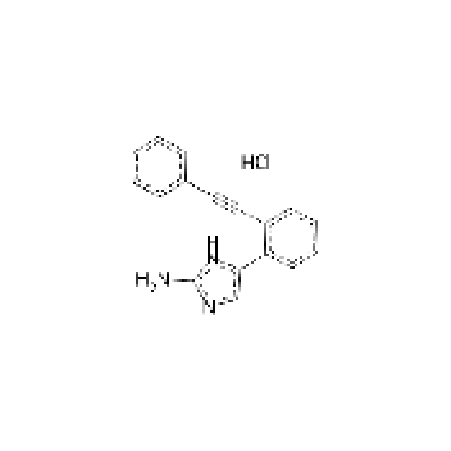 Cl.Nc1ncc(-c2ccccc2C#Cc2ccccc2)[nH]1